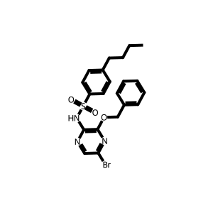 CCCCc1ccc(S(=O)(=O)Nc2ncc(Br)nc2OCc2ccccc2)cc1